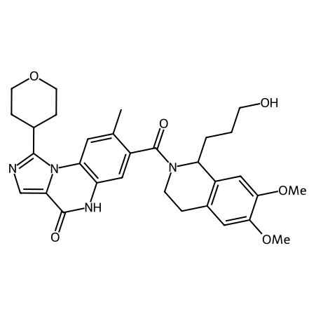 COc1cc2c(cc1OC)C(CCCO)N(C(=O)c1cc3[nH]c(=O)c4cnc(C5CCOCC5)n4c3cc1C)CC2